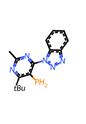 Cc1nc(-n2nnc3ccccc32)c(P)c(C(C)(C)C)n1